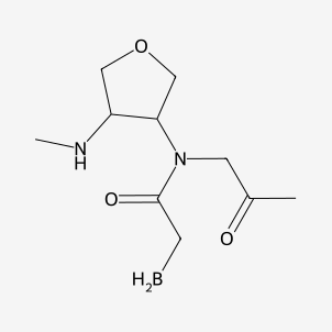 BCC(=O)N(CC(C)=O)C1COCC1NC